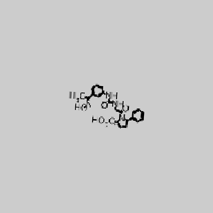 CC(=NO)c1cccc(NC(=O)NCC(=O)N2C(c3ccccc3)CC[C@H]2C(=O)O)c1